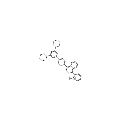 C1=CNC(C2=c3ccccc3=C(C3=CC=C(c4cc(C5CCCCC5)cc(C5CCCCC5)c4)CC3)CC2)C=C1